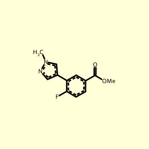 COC(=O)c1ccc(F)c(-c2cnn(C)c2)c1